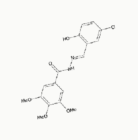 COc1cc(C(=O)NN=Cc2cc(Cl)ccc2O)cc(OC)c1OC